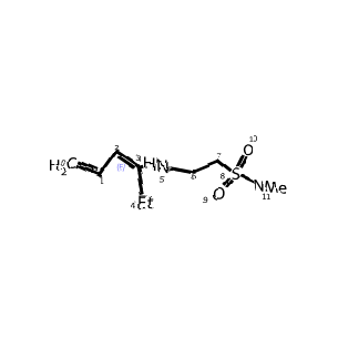 C=C/C=C(\CC)NCCS(=O)(=O)NC